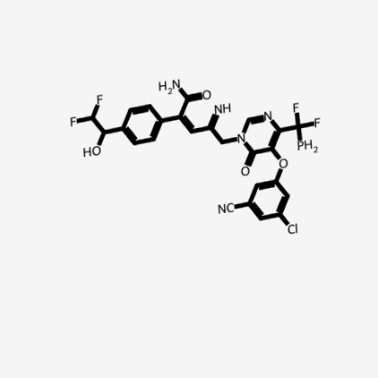 N#Cc1cc(Cl)cc(Oc2c(C(F)(F)P)ncn(CC(=N)/C=C(\C(N)=O)c3ccc(C(O)C(F)F)cc3)c2=O)c1